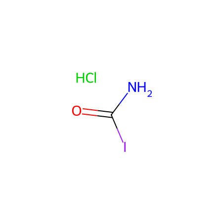 Cl.NC(=O)I